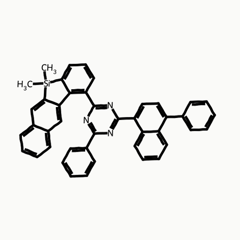 C[Si]1(C)c2cc3ccccc3cc2-c2c(-c3nc(-c4ccccc4)nc(-c4ccc(-c5ccccc5)c5ccccc45)n3)cccc21